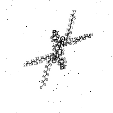 CCCCCCCCCCCCC(CCCCCCCCCC)CN1C(=O)C(c2ccc(Br)s2)=c2ccc3c4c(ccc3c21)=C(c1ccc(Br)s1)C(=O)N4CC(CCCCCCCCCC)CCCCCCCCCCCC